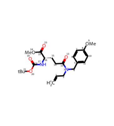 C=CCN(Cc1ccc(OC)cc1)C(=O)CC[C@H](NC(=O)OC(C)(C)C)C(=O)OC